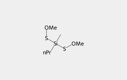 CCC[Si](C)(SOC)SOC